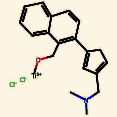 CN(C)CC1=CCC(c2ccc3ccccc3c2C[O][Ti+2])=C1.[Cl-].[Cl-]